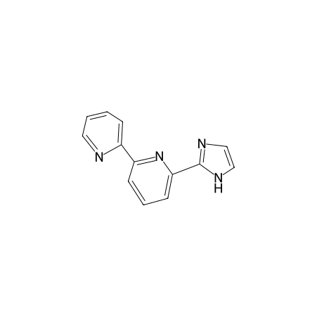 c1ccc(-c2cccc(-c3ncc[nH]3)n2)nc1